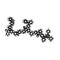 O=c1c2ccccc2c2cc(-c3ccc4sc5cc(-c6ccc7c(c6)c(=O)n6c8cc9c(cc8c8cc(-c%10cccc(-c%11ccc%12c(c%11)c(=O)n%11c%13cc%14c%15ccccc%15n(-c%15nc(-c%16ccccc%16)nc(-c%16ccccc%16)n%15)c%14cc%13c%13cccc%12c%13%11)c%10)cc7c86)c6ccccc6n9-c6ccccc6)ccc5c4c3)cc3c4cc(-c5ccc6sc7ccccc7c6c5)ccc4n1c23